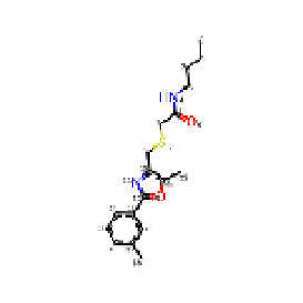 CCCCNC(=O)CSCc1nc(-c2cccc(C)c2)oc1C